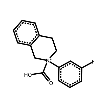 O=C(O)[N+]1(c2cccc(F)c2)CCc2ccccc2C1